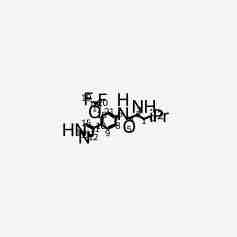 CC(C)CC(N)C(=O)Nc1ccc(-c2cn[nH]c2)c(OC(F)F)c1